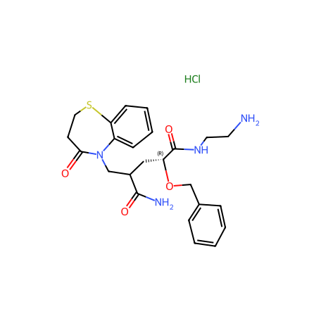 Cl.NCCNC(=O)[C@@H](CC(CN1C(=O)CCSc2ccccc21)C(N)=O)OCc1ccccc1